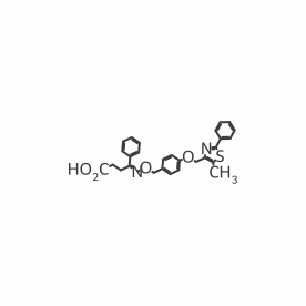 Cc1sc(-c2ccccc2)nc1COc1ccc(CON=C(CCC(=O)O)c2ccccc2)cc1